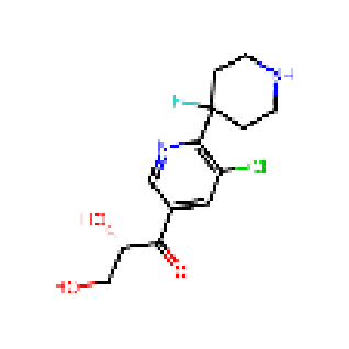 O=C(c1cnc(C2(F)CCNCC2)c(Cl)c1)[C@@H](O)CO